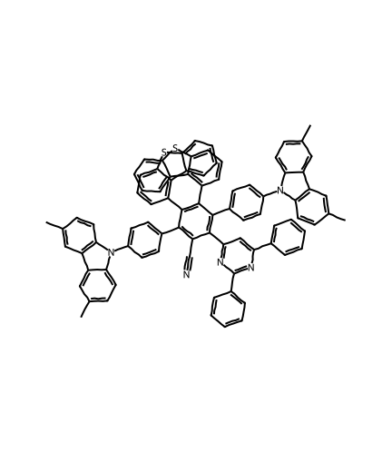 Cc1ccc2c(c1)c1cc(C)ccc1n2-c1ccc(-c2c(C#N)c(-c3cc(-c4ccccc4)nc(-c4ccccc4)n3)c(-c3ccc(-n4c5ccc(C)cc5c5cc(C)ccc54)cc3)c(-c3cccc4sc5ccccc5c34)c2-c2cccc3sc4ccccc4c23)cc1